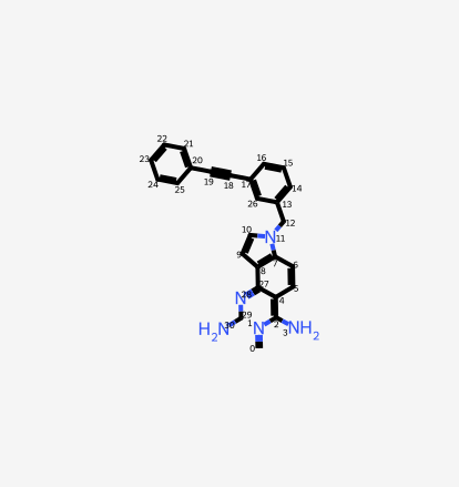 C=N/C(N)=C1/C=Cc2c(ccn2Cc2cccc(C#Cc3ccccc3)c2)/C1=N/CN